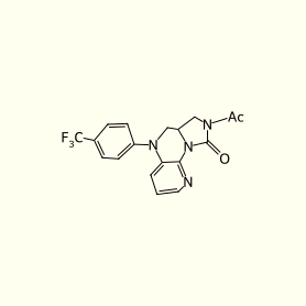 CC(=O)N1CC2CN(c3ccc(C(F)(F)F)cc3)c3cccnc3N2C1=O